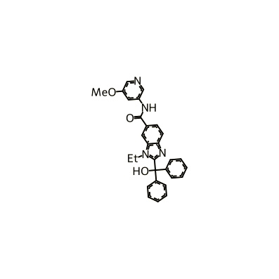 CCn1c(C(O)(c2ccccc2)c2ccccc2)nc2ccc(C(=O)Nc3cncc(OC)c3)cc21